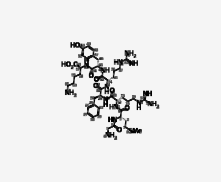 CSCC[C@H](NC(=O)CN)C(=O)N[C@@H](CCCNC(=N)N)C(=O)N[C@@H](Cc1ccccc1)C(=O)N[C@@H](CCCNC(=N)N)C(=O)N[C@@H](Cc1ccc(O)cc1)C(=O)N[C@@H](CCCCN)C(=O)O